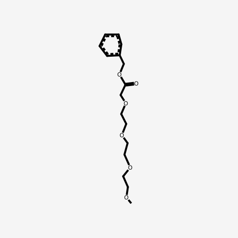 COCCOCCOCCOCC(=O)OCc1ccccc1